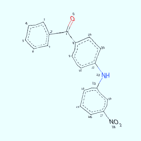 O=C(c1ccccc1)c1ccc(Nc2cccc([N+](=O)[O-])c2)cc1